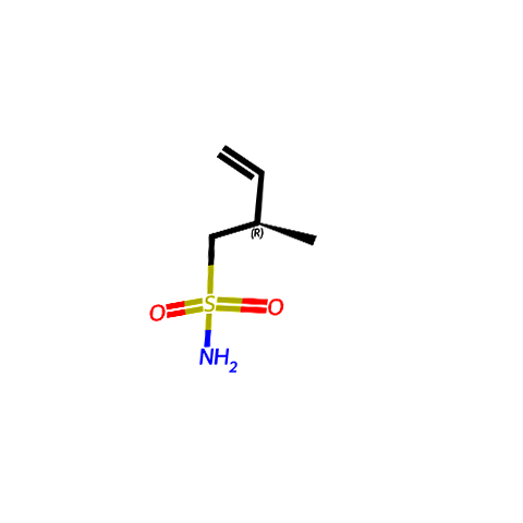 C=C[C@@H](C)CS(N)(=O)=O